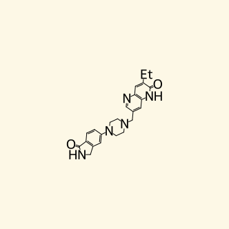 CCc1cc2ncc(CN3CCN(c4ccc5c(c4)CNC5=O)CC3)cc2[nH]c1=O